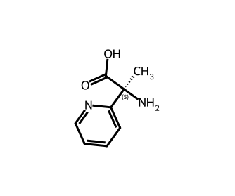 C[C@@](N)(C(=O)O)c1ccccn1